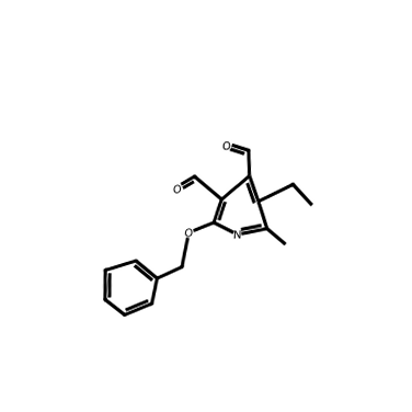 CCc1c(C)nc(OCc2ccccc2)c(C=O)c1C=O